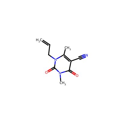 C=CCn1c(C)c(C#N)c(=O)n(C)c1=O